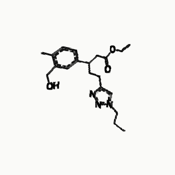 CCCn1cc(CCC(CC(=O)OCC)c2ccc(C)c(CO)c2)nn1